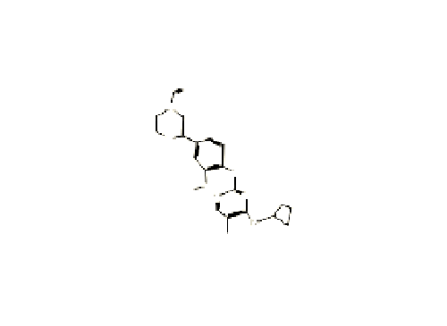 COc1cc(C2CN(C=O)CCO2)ccc1Nc1ncc(Cl)c(NC2CCC2)n1